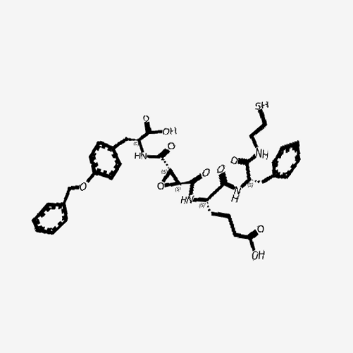 O=C(O)CCC[C@H](NC(=O)[C@H]1O[C@@H]1C(=O)N[C@@H](Cc1ccc(OCc2ccccc2)cc1)C(=O)O)C(=O)N[C@@H](Cc1ccccc1)C(=O)NCCS